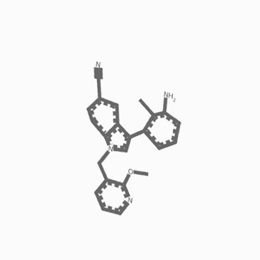 COc1ncccc1Cn1cc(-c2cccc(N)c2C)c2cc(C#N)ccc21